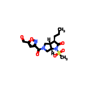 CCC[C@H]1C(=O)N(S(C)(=O)=O)[C@H]2CN(C(=O)c3cc(C=O)on3)C[C@H]12